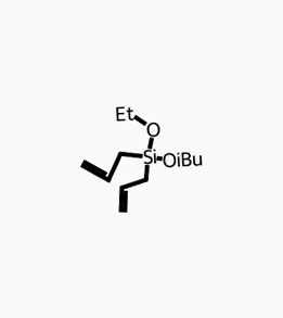 C=CC[Si](CC=C)(OCC)OCC(C)C